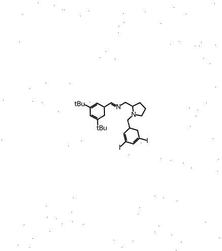 CC(C)(C)C1=CC(/C=N/CC2CCCN2CC2C=C(I)C=C(I)C2)CC(C(C)(C)C)=C1